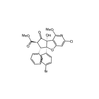 COC(=O)[C@H]1C(=O)[C@@]2(O)c3c(cc(Cl)nc3OC)O[C@@]2(c2ccc(Br)cc2)[C@@H]1c1ccccc1